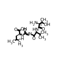 CC(C)C[C@H](NC(=O)CNC(=O)[C@@H](NC(=O)[C@@H](N)[C@@H](C)O)C(C)C)C(=O)O